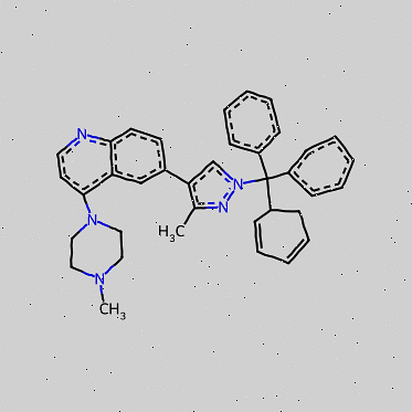 Cc1nn(C(c2ccccc2)(c2ccccc2)C2C=CC=CC2)cc1-c1ccc2nccc(N3CCN(C)CC3)c2c1